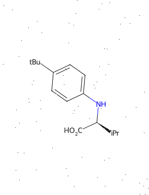 CC(C)[C@H](Nc1ccc(C(C)(C)C)cc1)C(=O)O